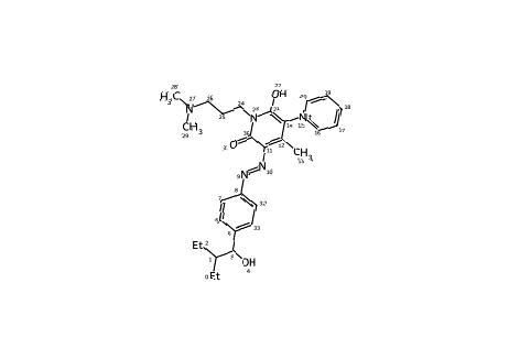 CCC(CC)C(O)c1ccc(/N=N/c2c(C)c(-[n+]3ccccc3)c(O)n(CCCN(C)C)c2=O)cc1